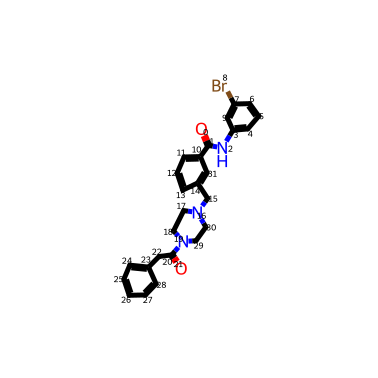 O=C(Nc1cccc(Br)c1)c1cccc(CN2CCN(C(=O)Cc3ccccc3)CC2)c1